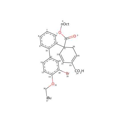 CCCCCCCCOC(=O)C1(c2ccccc2-c2ccc(OCC(C)CC)c(Br)c2)C=CC(C(=O)O)=CC1